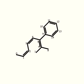 C/C=C\C=C/C(=C(C)C)c1ccccc1